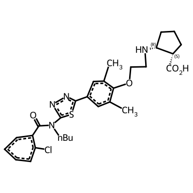 CCCCN(C(=O)c1ccccc1Cl)c1nnc(-c2cc(C)c(OCCN[C@@H]3CCC[C@@H]3C(=O)O)c(C)c2)s1